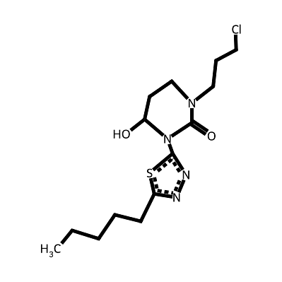 CCCCCc1nnc(N2C(=O)N(CCCCl)CCC2O)s1